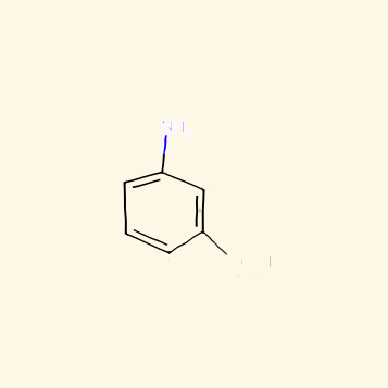 Nc1[c]c(C(=O)O)ccc1